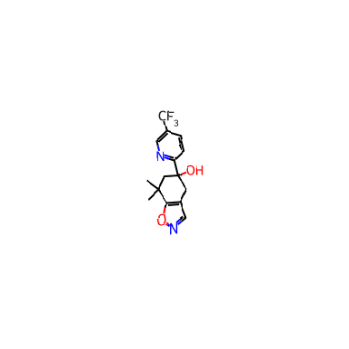 CC1(C)CC(O)(c2ccc(C(F)(F)F)cn2)Cc2cnoc21